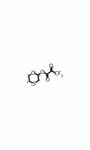 O=C(OC1CSCCO1)C(=O)C(F)(F)F